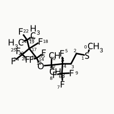 CSCCC(F)(C(F)(F)F)C(C)(C)OC(F)(F)C(F)(C(C)(C)F)C(F)(F)F